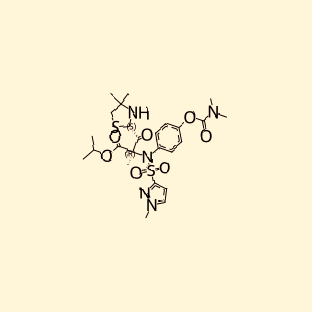 CC(C)OC(=O)[C@@](C)(C(=O)[C@H]1NC(C)(C)CS1)N(c1ccc(OC(=O)N(C)C)cc1)S(=O)(=O)c1ccn(C)n1